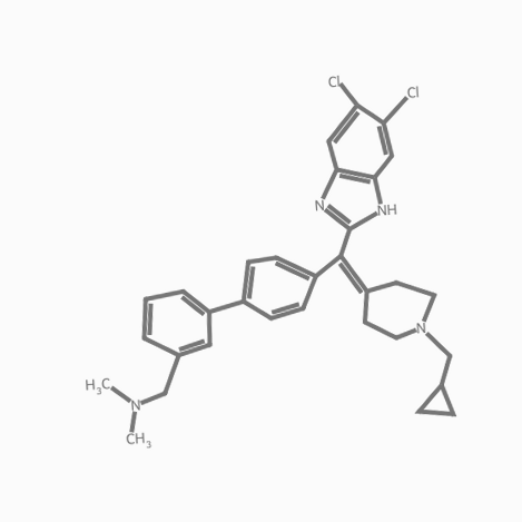 CN(C)Cc1cccc(-c2ccc(C(=C3CCN(CC4CC4)CC3)c3nc4cc(Cl)c(Cl)cc4[nH]3)cc2)c1